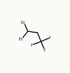 CCC([CH]C(F)(F)F)CC